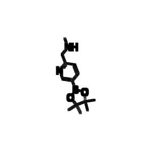 CNCc1ccc(B2OC(C)(C)C(C)(C)O2)cn1